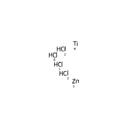 Cl.Cl.Cl.Cl.[Ti].[Zn]